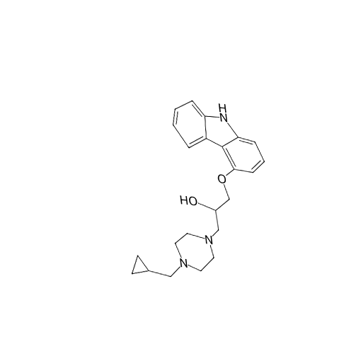 OC(COc1cccc2[nH]c3ccccc3c12)CN1CCN(CC2CC2)CC1